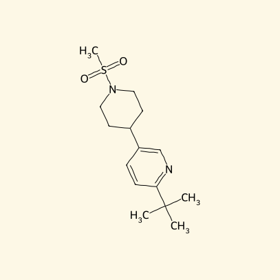 CC(C)(C)c1ccc(C2CCN(S(C)(=O)=O)CC2)cn1